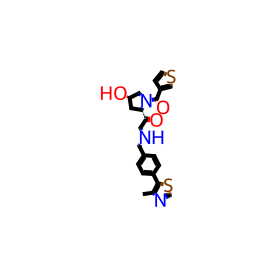 Cc1ncsc1-c1ccc(CNCC(=O)[C@@H]2C[C@@H](O)CN2C(=O)c2ccsc2)cc1